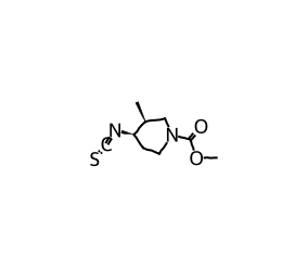 COC(=O)N1CC[C@@H](N=C=S)[C@@H](C)C1